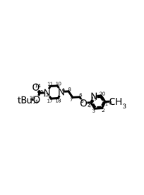 Cc1ccc(OCCCN2CCN(C(=O)OC(C)(C)C)CC2)nc1